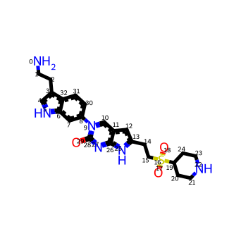 NCCc1c[nH]c2cc(-n3cc4cc(CCS(=O)(=O)C5CCNCC5)[nH]c4nc3=O)ccc12